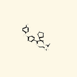 Cc1nnc2n1-c1sc3c(c1C(c1ccc(Nc4ccc(Cl)cc4)cc1)=NC2)CCC3